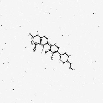 CCCC1CCC(c2ccc(-c3ccc4c(c3F)C(=O)OC(C)C4)c(F)c2F)CC1